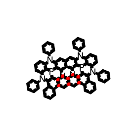 c1ccc(-n2c3cccc4c3p3c5c(cc6ccccc6c5n4-c4ccccc4)n(-c4ccccc4)c4c5c(cc2c43)cc2c3c5n(-c4ccccc4)c4cc5ccccc5c5c4p3c3c(cccc3n5-c3ccccc3)n2-c2ccccc2)cc1